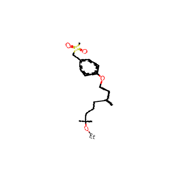 CCOC(C)(C)CCCC(C)CCOc1ccc(CS(C)(=O)=O)cc1